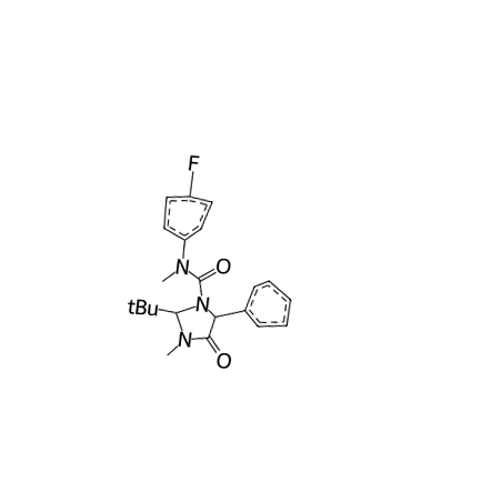 CN(C(=O)N1C(c2ccccc2)C(=O)N(C)C1C(C)(C)C)c1ccc(F)cc1